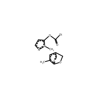 CCC(=O)Oc1ccnn1C.Cc1cc2ccc1OC2